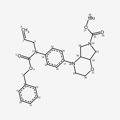 C=CCN(C(=O)OCc1ccccc1)c1ccc(N2CCOC3CN(C(=O)OC(C)(C)C)CC32)cc1